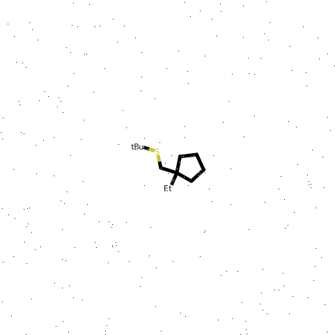 CCC1(CSC(C)(C)C)CCCC1